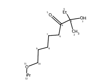 CCC(C)(O)C(=O)CCCCCOC(C)C